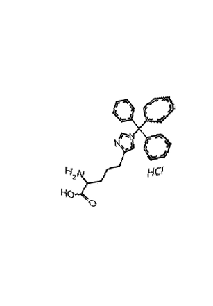 Cl.NC(CCCc1cn(C(c2ccccc2)(c2ccccc2)c2ccccc2)cn1)C(=O)O